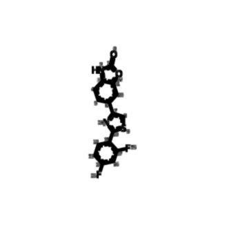 O=c1[nH]c2ccc(-c3csc(-c4ccc(F)cc4F)n3)cc2o1